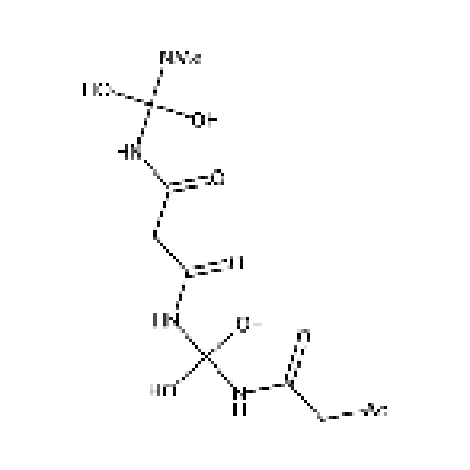 CNC(O)(O)NC(=O)CC(=O)NC(O)(O)NC(=O)CC(C)=O